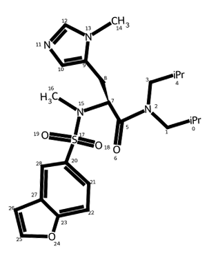 CC(C)CN(CC(C)C)C(=O)[C@H](Cc1cncn1C)N(C)S(=O)(=O)c1ccc2occc2c1